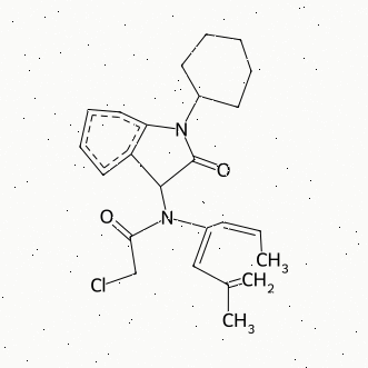 C=C(C)/C=C(\C=C/C)N(C(=O)CCl)C1C(=O)N(C2CCCCC2)c2ccccc21